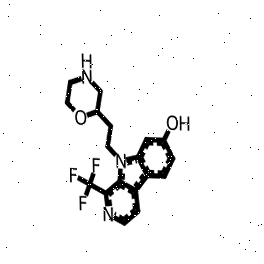 Oc1ccc2c3ccnc(C(F)(F)F)c3n(CCC3CNCCO3)c2c1